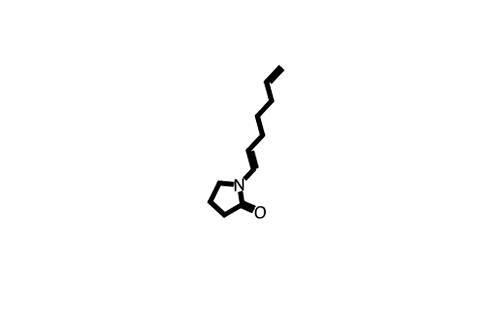 C=CCCC/C=C/N1CCCC1=O